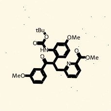 COC(=O)c1cccc(CC(C(=O)c2cccc(OC)c2)c2ccc(OC)cc2NC(=O)OC(C)(C)C)n1